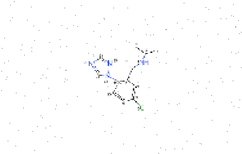 CC(C)NCc1cc(Cl)ccc1-n1cncn1